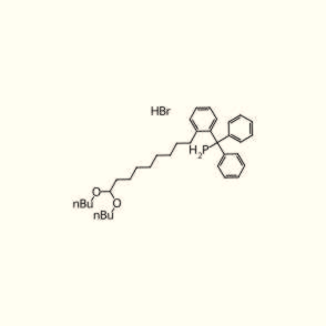 Br.CCCCOC(CCCCCCCCc1ccccc1C(P)(c1ccccc1)c1ccccc1)OCCCC